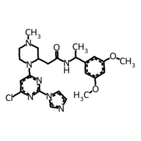 COc1cc(OC)cc(C(C)NC(=O)CC2CN(C)CCN2c2cc(Cl)nc(-n3ccnc3)n2)c1